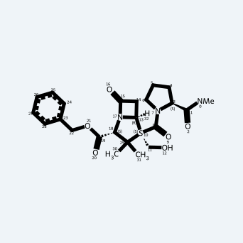 CNC(=O)[C@@H]1CCCN1C(=O)[S@]1(CO)[C@@H]2CC(=O)N2[C@@H](C(=O)OCc2ccccc2)C1(C)C